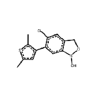 Cc1cc(-c2cc3c(cc2Cl)COB3O)c(C)s1